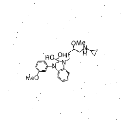 COc1cccc(N2c3ccccc3N(CC[C@H](CNC3CC3)OC)S2(O)O)c1